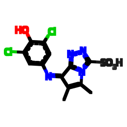 CC1=C(C)n2c(nnc2S(=O)(=O)O)C1=Nc1cc(Cl)c(O)c(Cl)c1